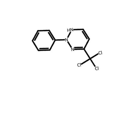 ClC(Cl)(Cl)C1=NN(c2ccccc2)NC=C1